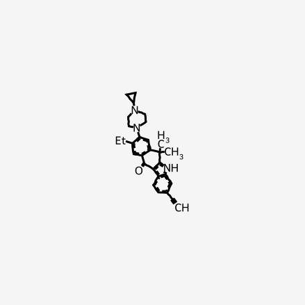 C#Cc1ccc2c3c([nH]c2c1)C(C)(C)c1cc(N2CCN(C4CC4)CC2)c(CC)cc1C3=O